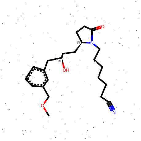 COCc1cccc(C[C@H](O)CC[C@H]2CCC(=O)N2CCCCCCC#N)c1